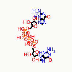 Nc1nc(=O)c2ncn([C@@H]3OC(COP(=O)(O)OP(=O)(O)OP(=O)(O)OP(=O)(O)OCC4O[C@@H](n5cnc6c(=O)nc(N)[nH]c65)[C@H](O)[C@@H]4O)[C@@H](O)[C@H]3O)c2[nH]1